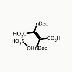 CCCCCCCCCCC(C(=O)O)=C(CCCCCCCCCC)C(=O)O.O=S(=O)(O)O